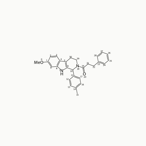 COc1ccc2c3c([nH]c2c1)C(c1ccc(C)cc1)N(C(=O)CCc1ccccc1)CC3